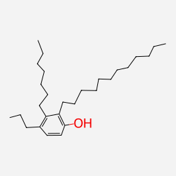 CCCCCCCCCCCCc1c(O)ccc(CCC)c1CCCCCCC